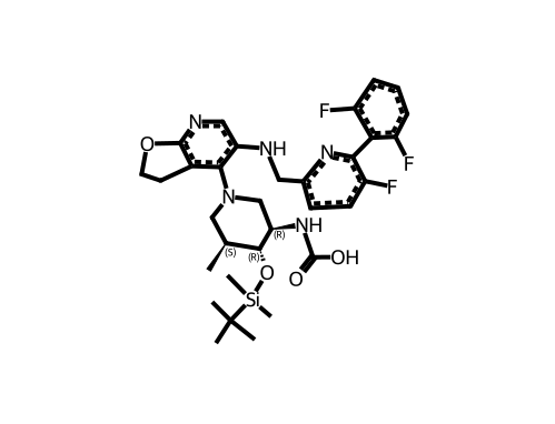 C[C@H]1CN(c2c(NCc3ccc(F)c(-c4c(F)cccc4F)n3)cnc3c2CCO3)C[C@@H](NC(=O)O)[C@@H]1O[Si](C)(C)C(C)(C)C